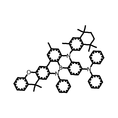 Cc1cc2c3c(c1)N(c1cc4c(cc1C)C(C)(C)CCC4(C)C)c1cc(N(c4ccccc4)c4ccccc4)ccc1B3N(c1ccccc1)c1cc3c(cc1-2)Oc1ccccc1C3(C)C